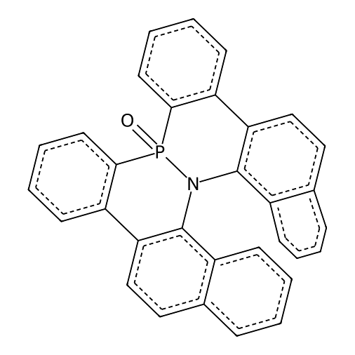 O=P12c3ccccc3-c3ccc4ccccc4c3N1c1c(ccc3ccccc13)-c1ccccc12